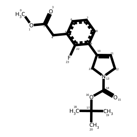 COC(=O)Cc1cccc(C2=CCN(C(=O)OC(C)(C)C)C2)c1F